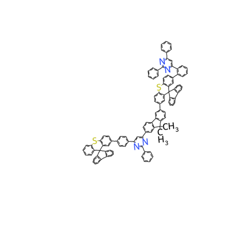 CC1(C)c2ccc(-c3ccc4c(c3)C3(c5cc(-c6ccccc6-c6cc(-c7ccccc7)nc(-c7ccccc7)n6)ccc5S4)c4ccccc4-c4ccccc43)cc2-c2ccc(-c3cc(-c4ccc(-c5ccc6c(c5)C5(c7ccccc7S6)c6ccccc6-c6ccccc65)cc4)nc(-c4ccccc4)n3)cc21